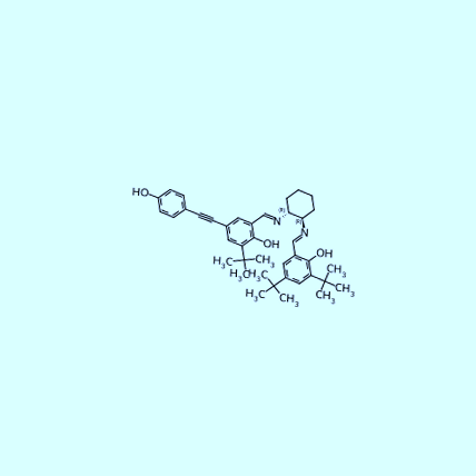 CC(C)(C)c1cc(C=N[C@@H]2CCCC[C@H]2N=Cc2cc(C#Cc3ccc(O)cc3)cc(C(C)(C)C)c2O)c(O)c(C(C)(C)C)c1